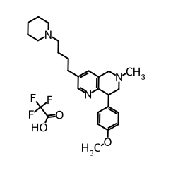 COc1ccc(C2CN(C)Cc3cc(CCCCN4CCCCC4)cnc32)cc1.O=C(O)C(F)(F)F